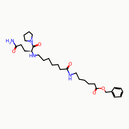 NC(=O)CC[C@H](NCCCCCCC(=O)NCCCCCC(=O)OCc1ccccc1)C(=O)N1CCCC1